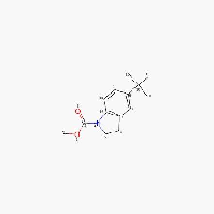 COC(=O)N1CCc2cc(C(C)(C)C)ccc21